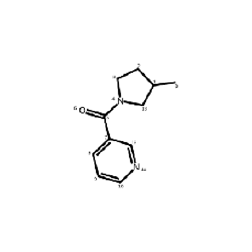 CC1CCN(C(=O)c2cccnc2)C1